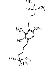 CC(C)(CCCCc1c(O)cc(CCCCC(C)(C)C(=O)O)c(O)c1O)OC=O